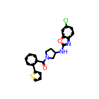 O=C(c1ccccc1-c1cccs1)N1CCC(Nc2nc3ccc(Cl)cc3o2)C1